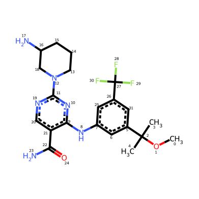 COC(C)(C)c1cc(Nc2nc(N3CCCC(N)C3)ncc2C(N)=O)cc(C(F)(F)F)c1